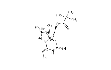 CC(C)(C)C(=O)O[C@H]1CN2C(=N)N[C@@H](CO)C3NC(=N)NC32C1(O)O